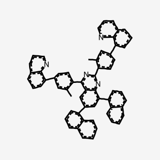 Cc1cc(-c2cccc3cccnc23)ccc1-c1nc(-c2ccc(-c3cccc4cccnc34)cc2C)c2cc(-c3cccc4ccccc34)cc(-c3cccc4ccccc34)c2n1